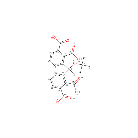 C[Si](C)(C)O[Si](C)(c1cccc(C(=O)O)c1C(=O)O)c1cccc(C(=O)O)c1C(=O)O